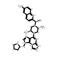 CC(C)[C@H](c1ccc2cc(C(F)(F)F)ccc2n1)N1C[C@H](C)N(c2nc3nncn3c3c2ncn3C[C@@H]2CCCO2)C[C@H]1C